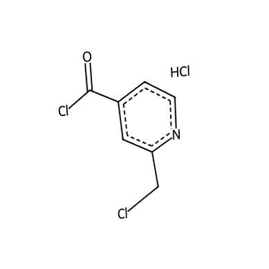 Cl.O=C(Cl)c1ccnc(CCl)c1